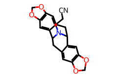 N#CCCN1C2Cc3cc4c(cc3C1Cc1cc3c(cc12)OCO3)OCO4